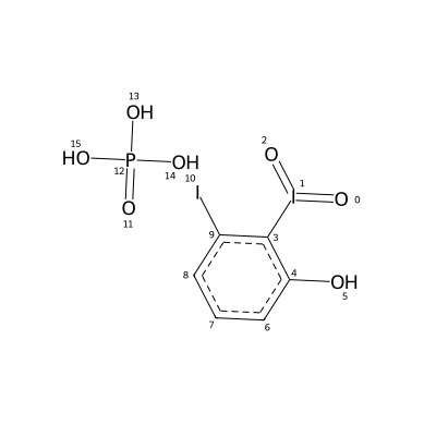 O=I(=O)c1c(O)cccc1I.O=P(O)(O)O